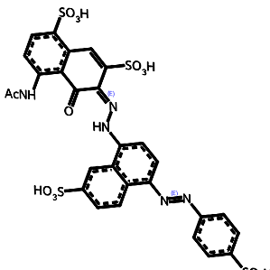 CC(=O)Nc1ccc(S(=O)(=O)O)c2c1C(=O)/C(=N\Nc1ccc(/N=N/c3ccc(S(=O)(=O)O)cc3)c3ccc(S(=O)(=O)O)cc13)C(S(=O)(=O)O)=C2